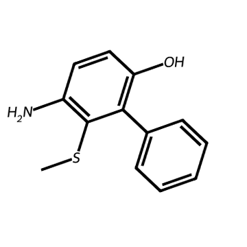 CSc1c(N)ccc(O)c1-c1ccccc1